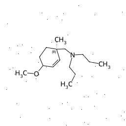 CCCN(CCC)C[C@@]1(C)C=CC(OC)CC1